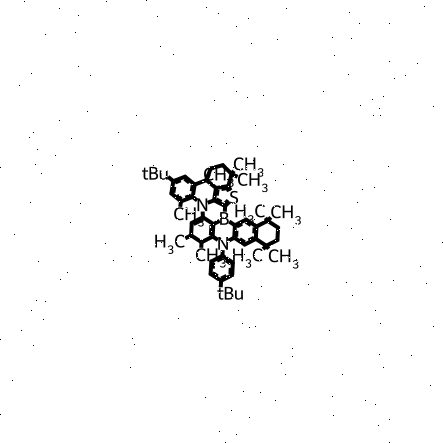 Cc1cc(C(C)(C)C)cc2c1N1C3=CC(C)C(C)C4=C3B(c3cc5c(cc3N4c3ccc(C(C)(C)C)cc3)C(C)(C)CCC5(C)C)c3sc4c(c31)C2(C)CCC4(C)C